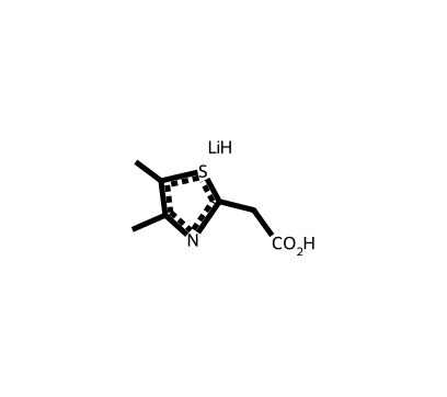 Cc1nc(CC(=O)O)sc1C.[LiH]